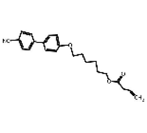 C=CCC(=O)OCCCCCCOc1ccc(-c2ccc(C#N)cc2)cc1